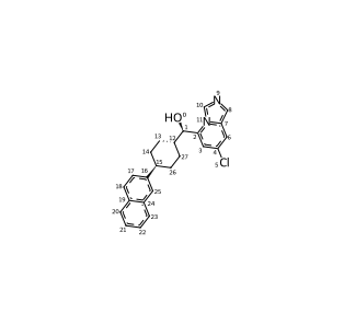 O[C@@H](c1cc(Cl)cc2cncn12)[C@H]1CC[C@H](c2ccc3ccccc3c2)CC1